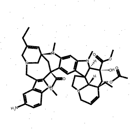 CCC1=C[C@H]2CN(C1)Cc1c([nH]c3ccc(N)cc13)[C@@](C(=O)OC)(c1cc3c(cc1OC)N(C)[C@@H]1C34CCN3CC=C[C@](CC)([C@H]34)[C@@H](OC(C)=O)[C@]1(O)C(=O)OC)C2